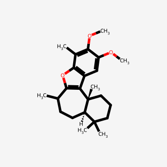 COc1cc2c3c(oc2c(C)c1OC)C(C)CC[C@@H]1C(C)(C)CCC[C@@]31C